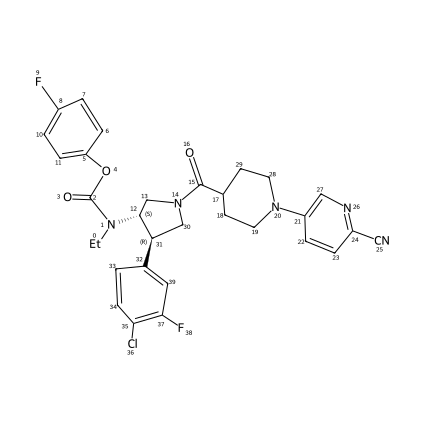 CCN(C(=O)Oc1ccc(F)cc1)[C@@H]1CN(C(=O)C2CCN(c3ccc(C#N)nc3)CC2)C[C@H]1c1ccc(Cl)c(F)c1